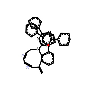 C=C1/C=C\C=C/CN(c2nc(-c3ccccc3)nc(-c3ccccc3)n2)c2c1cccc2-c1cccc(-c2ccccc2)c1